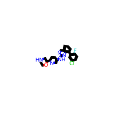 Fc1ccc(Cl)cc1-c1cccc2cnc(Nc3ccc(C4CNCCO4)nc3)nc12